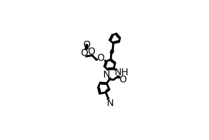 N#Cc1cccc(C2=Nc3cc(OCC4COC(=O)O4)c(C#Cc4ccccc4)cc3NC(=O)C2)c1